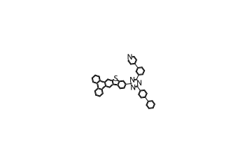 c1ccc(-c2ccc(-c3nc(-c4cccc(-c5ccncc5)c4)nc(-c4ccc5c(c4)sc4cc6c7ccccc7c7ccccc7c6cc45)n3)cc2)cc1